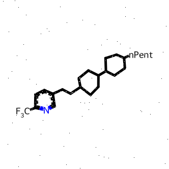 CCCCCC1CCC(C2CCC(CCc3ccc(C(F)(F)F)nc3)CC2)CC1